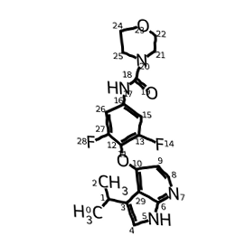 CC(C)c1c[nH]c2nccc(Oc3c(F)cc(NC(=O)N4CCOCC4)cc3F)c12